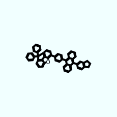 c1ccc(C2(c3ccccc3)c3cccc4oc5c(-c6ccc(-c7c8ccccc8c(-c8ccc9c(c8)CCC9)c8ccccc78)cc6)ccc2c5c34)cc1